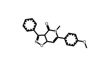 COc1ccc(C2=CC3ON=C(c4ccccc4)C3C(=O)N2C)cc1